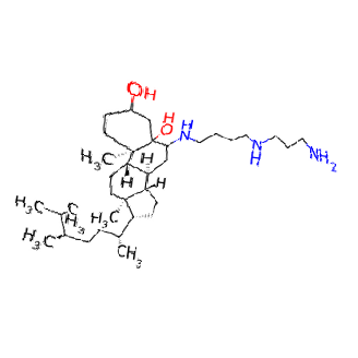 CC(C)[C@H](C)CC[C@@H](C)[C@H]1CC[C@H]2[C@@H]3CC(NCCCCNCCCN)C4(O)CC(O)CC[C@]4(C)[C@H]3CC[C@]12C